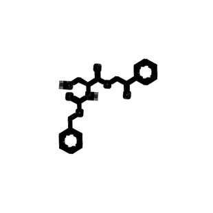 O=C(N[C@@H](CO)C(=O)OCC(=O)c1ccccc1)OCc1ccccc1